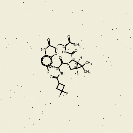 CC(C)[C@H](NC(=O)C1CC(F)(F)C1)C(=O)N1C[C@H]2[C@@H]([C@H]1C(=O)N[C@@H](C[C@@H]1Oc3cc(F)ccc3NC1=O)C(N)=O)C2(C)C